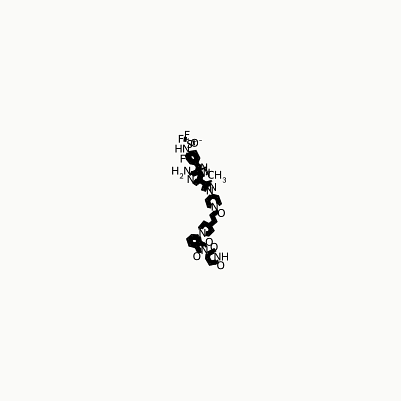 Cn1nc(-c2ccc(N[S+]([O-])C(F)F)c(F)c2)c2c(N)ncc(-c3cnn(C4CCN(C(=O)CCC5CCN(c6cccc7c6C(=O)N(C6CCC(=O)NC6=O)C7=O)CC5)CC4)c3)c21